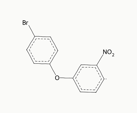 O=[N+]([O-])c1[c]ccc(Oc2ccc(Br)cc2)c1